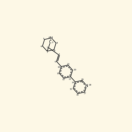 C(=C\C1CN2CCC1CC2)/c1ccc(-c2cccnc2)cc1